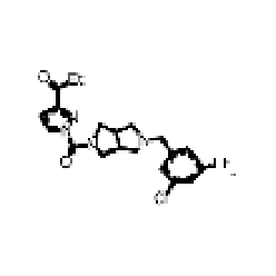 CCC(=O)c1ccn(C(=O)N2CC3CN(Cc4cc(Cl)cc(C(F)(F)F)c4)CC3C2)n1